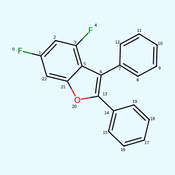 Fc1cc(F)c2c(-c3ccccc3)c(-c3ccccc3)oc2c1